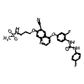 CS(=O)(=O)NCCCOc1cc2nccc(Oc3ccc(NC(=O)Nc4ccc(F)cc4)c(F)c3)c2cc1C#N